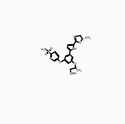 COC[C@H](C)Oc1cc(Oc2ccc(S(N)(=O)=O)nc2)cc(-c2ccc(C3=NC[C@H](C)O3)[nH]2)c1